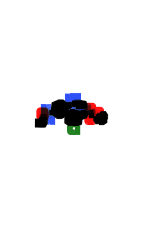 CCc1nc([C@H]2CC[C@H](c3nnc4n3-c3ccc(Cl)cc3CN(OC(=O)OC(C)(C)C)C4)CC2)no1